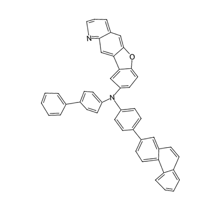 c1ccc(-c2ccc(N(c3ccc(-c4ccc5c(ccc6ccccc65)c4)cc3)c3ccc4oc5cc6cccnc6cc5c4c3)cc2)cc1